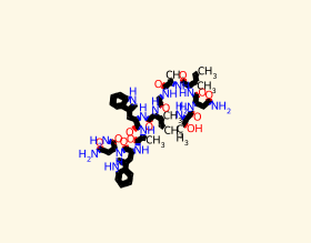 CCC(C)C(NC(=O)CNC(=O)C(C)NC(=O)C(NC(=O)C(CC(N)=O)NC(=O)C(N)C(C)O)C(C)CC)C(=O)NC(Cc1c[nH]c2ccccc12)C(=O)NC(C)C(=O)NC(Cc1c[nH]c2ccccc12)C(=O)NC(CC(N)=O)C(N)=O